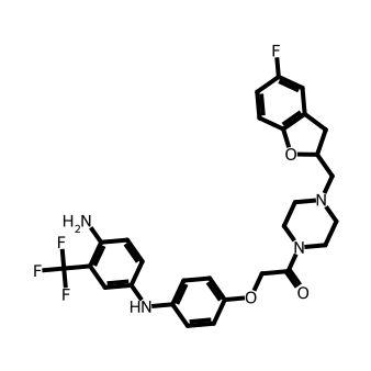 Nc1ccc(Nc2ccc(OCC(=O)N3CCN(CC4Cc5cc(F)ccc5O4)CC3)cc2)cc1C(F)(F)F